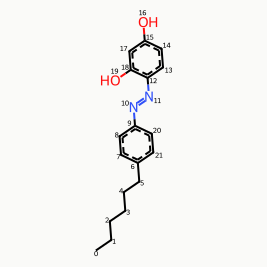 CCCCCCc1ccc(/N=N/c2ccc(O)cc2O)cc1